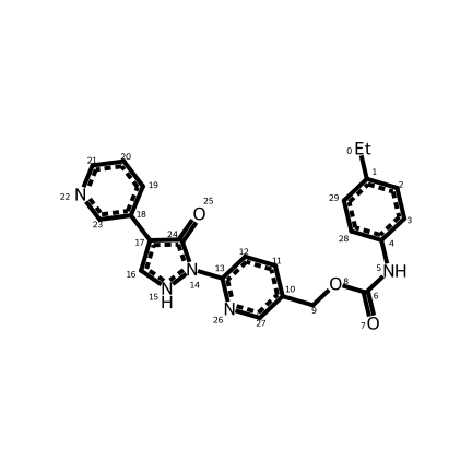 CCc1ccc(NC(=O)OCc2ccc(-n3[nH]cc(-c4cccnc4)c3=O)nc2)cc1